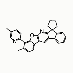 Cc1ccc(-c2c(C)ccc3c2oc2nc4c(cc23)-c2ccccc2C42CCCC2)nc1